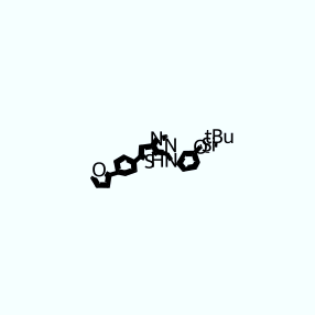 CC(C)(C)[Si](C)(C)Oc1cccc(Nc2ncnc3cc(-c4ccc(-c5ccco5)cc4)sc23)c1